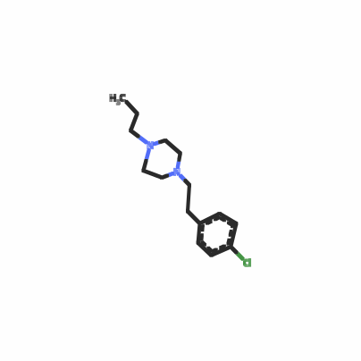 CCCN1CCN(CCc2ccc(Cl)cc2)CC1